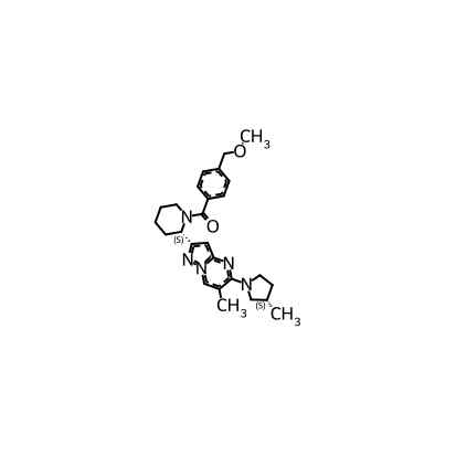 COCc1ccc(C(=O)N2CCCC[C@H]2c2cc3nc(N4CC[C@H](C)C4)c(C)cn3n2)cc1